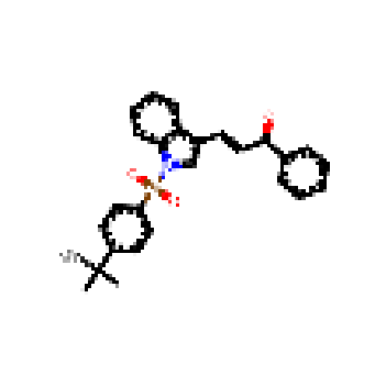 CCCC(C)(C)c1ccc(S(=O)(=O)n2cc(/C=C/C(=O)c3ccccc3)c3ccccc32)cc1